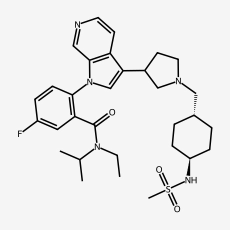 CCN(C(=O)c1cc(F)ccc1-n1cc(C2CCN(C[C@H]3CC[C@H](NS(C)(=O)=O)CC3)C2)c2ccncc21)C(C)C